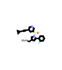 CNCc1cc(-c2ccccc2F)n([S+]([O-])c2cncc(C#CC3CC3)c2)c1